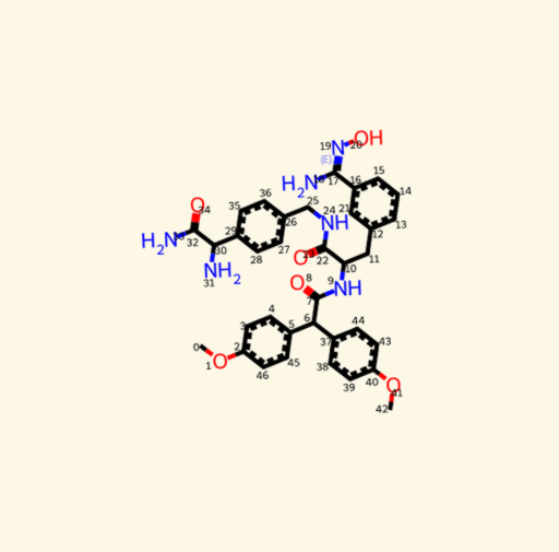 COc1ccc(C(C(=O)NC(Cc2cccc(/C(N)=N\O)c2)C(=O)NCc2ccc(C(N)C(N)=O)cc2)c2ccc(OC)cc2)cc1